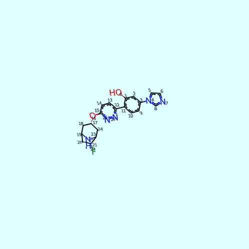 Oc1cc(-n2ccnc2)ccc1-c1ccc(O[C@H]2CC3C[C@H](F)C(C2)N3)nn1